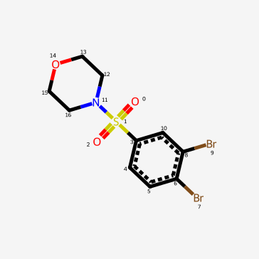 O=S(=O)(c1ccc(Br)c(Br)c1)N1CCOCC1